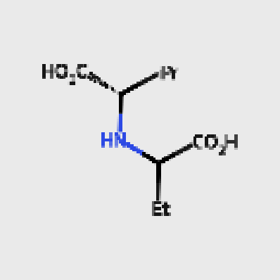 CCC(N[C@H](C(=O)O)C(C)C)C(=O)O